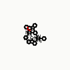 CC1(C)c2ccccc2-c2cccc(-c3nc(-c4ccccc4)nc(-c4ccc(-n5c6ccccc6c6ccccc65)c(-c5nc(-c6ccccc6)nc(-c6ccccc6)n5)c4)n3)c21